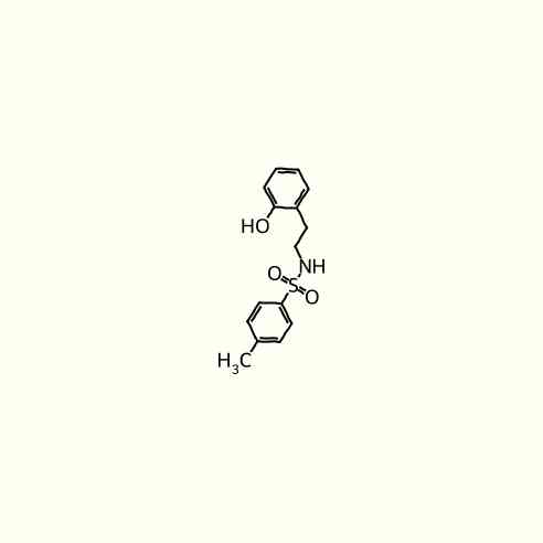 Cc1ccc(S(=O)(=O)NCCc2ccccc2O)cc1